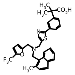 Cc1ccc2ccccc2c1CN(Cc1ccc(C(F)(F)F)o1)Cc1cnc(-c2cccc(C(C)(C)C(=O)O)c2)s1